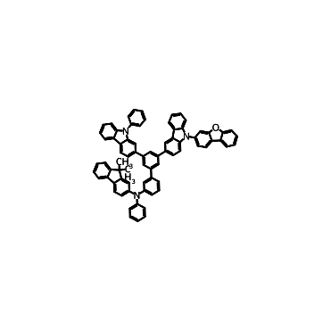 CC1(C)c2ccccc2-c2ccc(N(c3ccccc3)c3cccc(-c4cc(-c5ccc6c(c5)c5ccccc5n6-c5ccc6c(c5)oc5ccccc56)cc(-c5ccc6c7ccccc7n(-c7ccccc7)c6c5)c4)c3)cc21